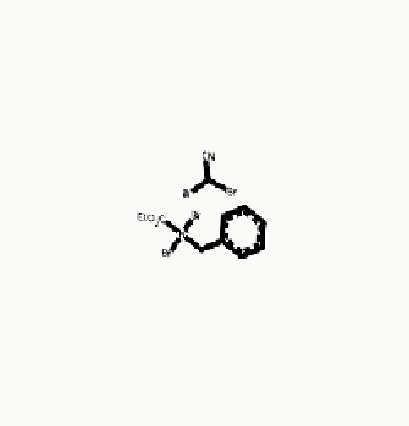 CCOC(=O)[N+](Br)(Br)Cc1ccccc1.N#CC(Br)Br